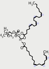 CC/C=C\C/C=C\C/C=C\CCCCCCCC(=O)OC[C@H](COP(=O)([O-])OCC[N+](C)(C)C)OC(=O)CCC/C=C\C/C=C\C/C=C\C/C=C\CCCCC